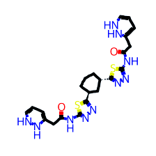 O=C(CC1=CC=CNN1)Nc1nnc([C@H]2CCC[C@H](c3nnc(NC(=O)CC4=CC=CNN4)s3)C2)s1